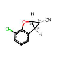 N#C[C@H]1[C@@H]2Oc3c(Cl)cccc3[C@H]12